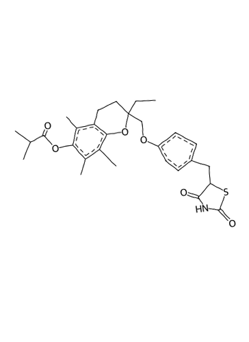 CCC1(COc2ccc(CC3SC(=O)NC3=O)cc2)CCc2c(C)c(OC(=O)C(C)C)c(C)c(C)c2O1